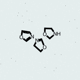 C1=NCCO1.C1COCN1.c1cocn1